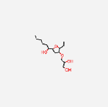 CCCCCC(O)C1CC(OCC(O)CO)C(CC)O1